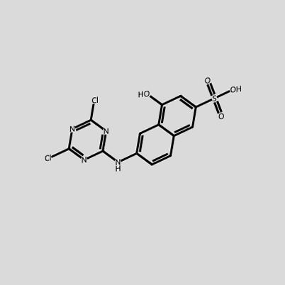 O=S(=O)(O)c1cc(O)c2cc(Nc3nc(Cl)nc(Cl)n3)ccc2c1